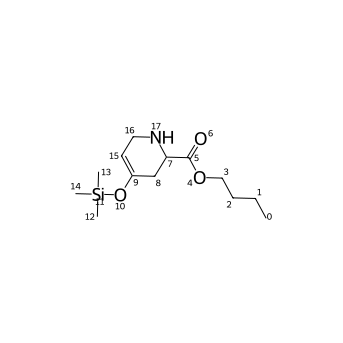 CCCCOC(=O)C1CC(O[Si](C)(C)C)=CCN1